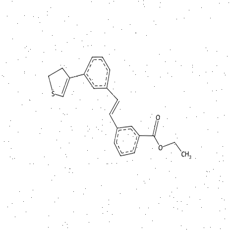 CCOC(=O)c1cccc(C=Cc2cccc(C3=CSCC3)c2)c1